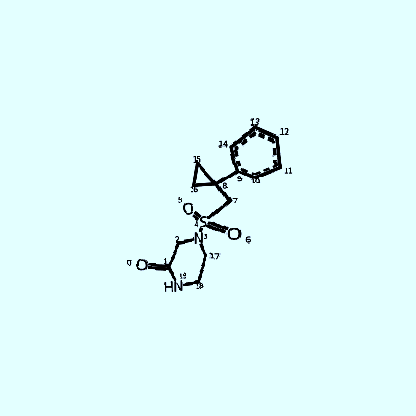 O=C1CN(S(=O)(=O)CC2(c3ccccc3)CC2)CCN1